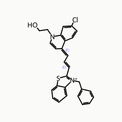 OCCN1C=C/C(=C\C=C\c2sc3ccccc3[n+]2Cc2ccccc2)c2ccc(Cl)cc21